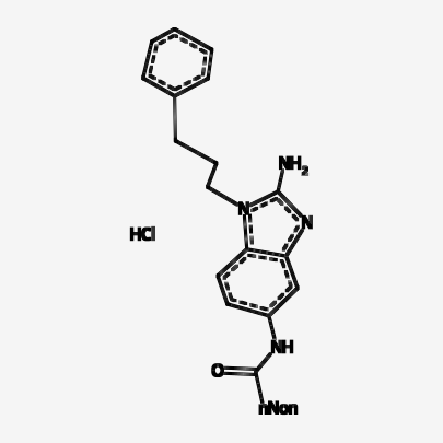 CCCCCCCCCC(=O)Nc1ccc2c(c1)nc(N)n2CCCc1ccccc1.Cl